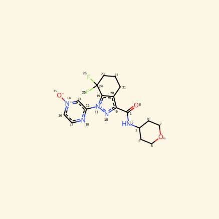 O=C(NC1CCOCC1)c1nn(-c2c[n+]([O-])ccn2)c2c1CCCC2(F)F